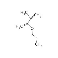 C=C(C)C(=C)OCCC